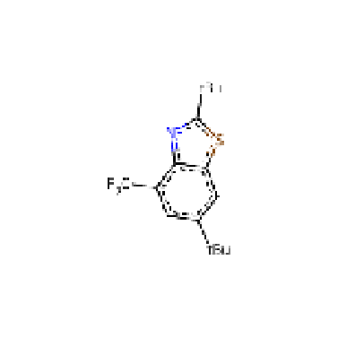 CC(C)(C)c1cc(C(F)(F)F)c2nc(C(C)(C)C)sc2c1